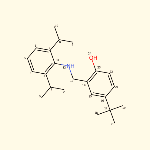 CC(C)c1cccc(C(C)C)c1NCc1cc(C(C)(C)C)ccc1O